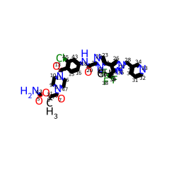 C[C@H](OC(N)=O)C(=O)N1CCN(C(=O)c2ccc(NC(=O)c3ncc(-c4cn(Cc5cccnc5)nc4C(F)(F)F)n3C)cc2Cl)CC1